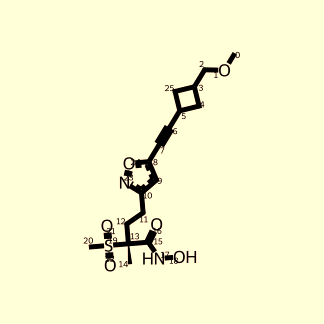 COCC1CC(C#Cc2cc(CC[C@](C)(C(=O)NO)S(C)(=O)=O)no2)C1